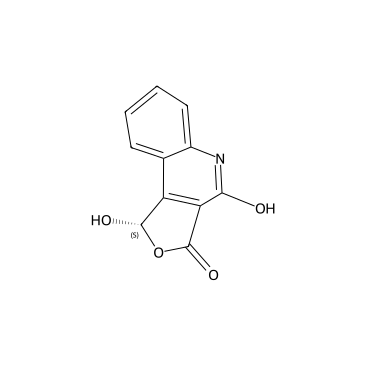 O=C1O[C@H](O)c2c1c(O)nc1ccccc21